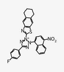 O=[N+]([O-])c1ccc(-n2nc(-c3ccc(F)cc3)n[n+]2-c2nc3cc4c(cc3s2)CCCC4)c2ccccc12